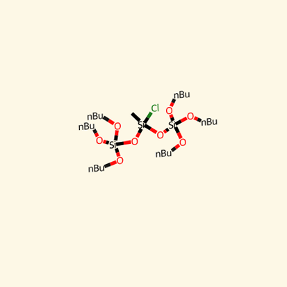 CCCCO[Si](OCCCC)(OCCCC)O[Si](C)(Cl)O[Si](OCCCC)(OCCCC)OCCCC